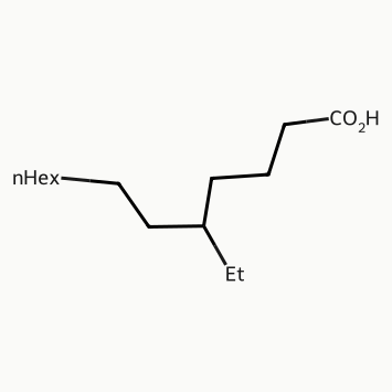 CCCCCCCCC(CC)CCCC(=O)O